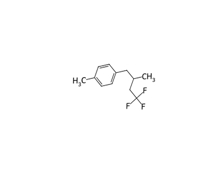 Cc1ccc(CC(C)CC(F)(F)F)cc1